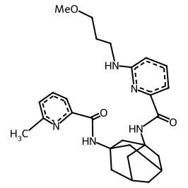 COCCCNc1cccc(C(=O)NC23CC4CC(CC(NC(=O)c5cccc(C)n5)(C4)C2)C3)n1